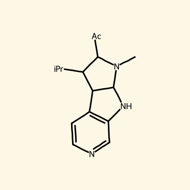 CC(=O)C1C(C(C)C)C2c3ccncc3NC2N1C